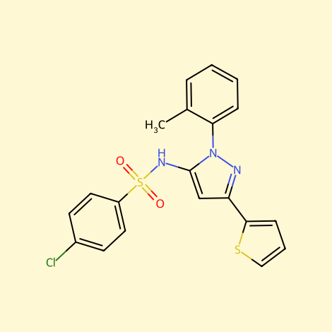 Cc1ccccc1-n1nc(-c2cccs2)cc1NS(=O)(=O)c1ccc(Cl)cc1